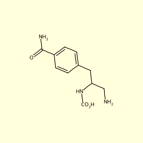 NCC(Cc1ccc(C(N)=O)cc1)NC(=O)O